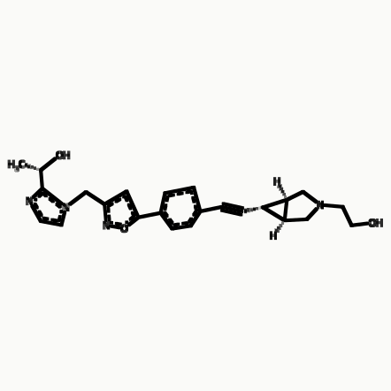 C[C@H](O)c1nccn1Cc1cc(-c2ccc(C#C[C@@H]3[C@H]4CN(CCO)C[C@@H]34)cc2)on1